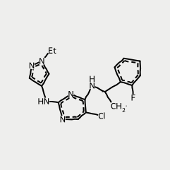 [CH2][C](Nc1nc(Nc2cnn(CC)c2)ncc1Cl)c1ccccc1F